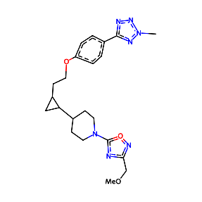 COCc1noc(N2CCC(C3CC3CCOc3ccc(-c4nnn(C)n4)cc3)CC2)n1